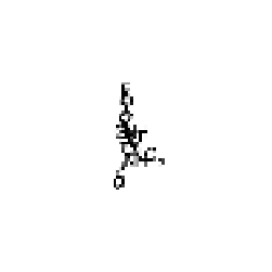 O=C(NS(=O)(=O)c1ccc(NCCCC2CCCCC2)c([N+](=O)[O-])c1)c1ccc(-c2ccc(F)cc2)cc1